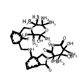 BC1(B)OC(B)(O)C(B)(B)N(Cc2cccc(CNc3cccc4c3CN(C3(B)C(=O)NC(=O)C(B)(O)C3(B)O)C4=O)c2F)C1(B)B